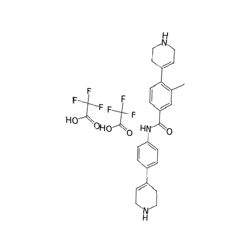 Cc1cc(C(=O)Nc2ccc(C3=CCNCC3)cc2)ccc1C1=CCNCC1.O=C(O)C(F)(F)F.O=C(O)C(F)(F)F